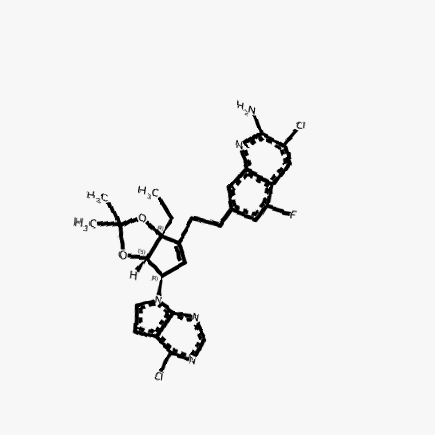 CC[C@]12OC(C)(C)O[C@H]1[C@H](n1ccc3c(Cl)ncnc31)C=C2CCc1cc(F)c2cc(Cl)c(N)nc2c1